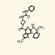 Cc1nc2nc(N[C@@H](C)c3ccccn3)nc(C(=O)N3CC(NC(=O)Nc4ccccc4)C3)c2s1